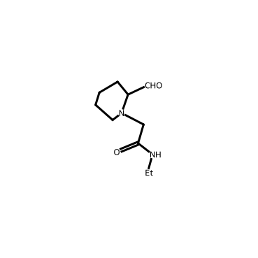 CCNC(=O)CN1CCCCC1C=O